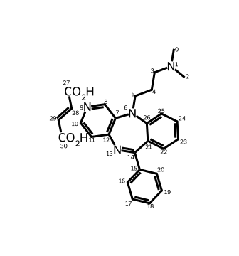 CN(C)CCCN1c2cnccc2N=C(c2ccccc2)c2ccccc21.O=C(O)C=CC(=O)O